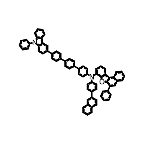 c1ccc(-c2cc3ccccc3c3c2oc2c(N(c4ccc(-c5ccc(-c6ccc(-c7ccc8c(c7)c7ccccc7n8-c7ccccc7)cc6)cc5)cc4)c4ccc(-c5ccc6ccccc6c5)cc4)cccc23)cc1